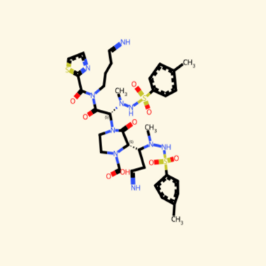 Cc1ccc(S(=O)(=O)NN(C)C(CC=N)[C@H]2C(=O)N([C@H](C(=O)N(CCCC=N)C(=O)c3nccs3)N(C)NS(=O)(=O)c3ccc(C)cc3)CCN2C(=O)O)cc1